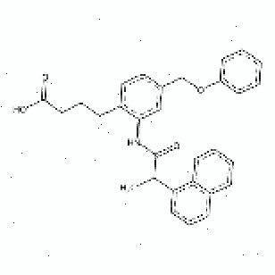 CC(C(=O)Nc1cc(COc2ccccc2)ccc1CCCC(=O)O)c1cccc2ccccc12